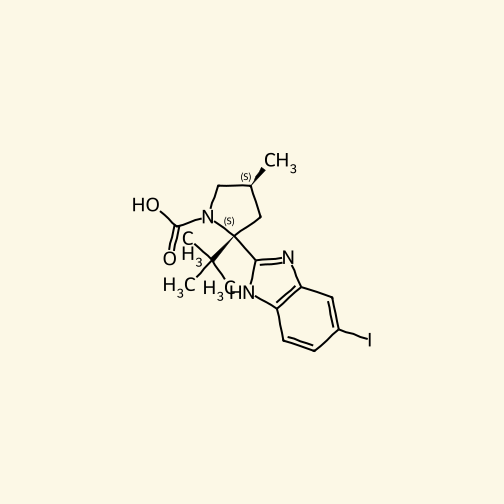 C[C@@H]1CN(C(=O)O)[C@](c2nc3cc(I)ccc3[nH]2)(C(C)(C)C)C1